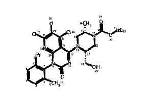 Cc1cccc(C(C)C)c1-n1c(=O)nc(N2C[C@H](C)N(C(=O)OC(C)(C)C)C[C@@H]2CO)c2c(Cl)c(Cl)c(Cl)nc21